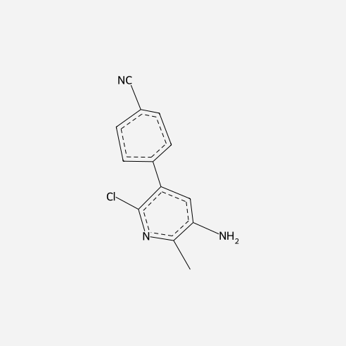 Cc1nc(Cl)c(-c2ccc(C#N)cc2)cc1N